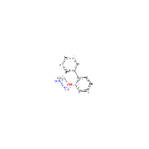 NN.O=C(O)O.c1ccc(-c2ccccc2)cc1